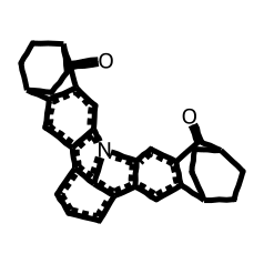 O=C1c2cc3c(cc2C2CCC1CC2)c1cccc2c4cc5c(cc4n3c12)C(=O)C1CCC5CC1